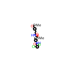 COC(=O)c1ccc(/C=C/C(=O)N[C@@H](Cc2ccc(NC(=O)c3c(Cl)cccc3Cl)cc2)C(=O)OC)cc1